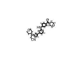 N#CCC(C1CCOCC1)n1cc(-c2ccnc(Nc3ccc(C(=O)N4CCOCC4)cc3)n2)cn1